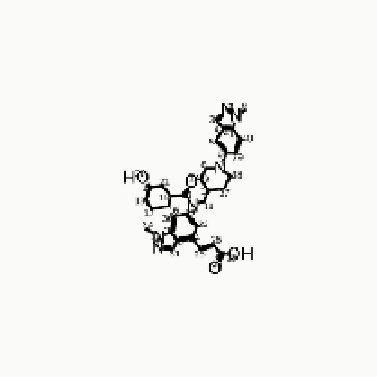 Cn1ncc2cc(N3CCC(CN(C(=O)C4CCCC(O)C4)c4cc(C=CC(=O)O)c5cnn(C)c5c4)CC3)ccc21